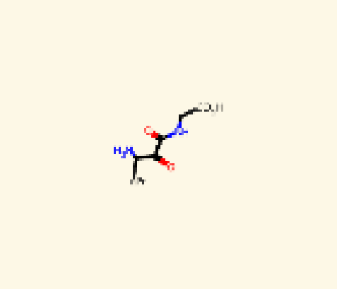 CCCC(N)C(=O)C(=O)NCC(=O)O